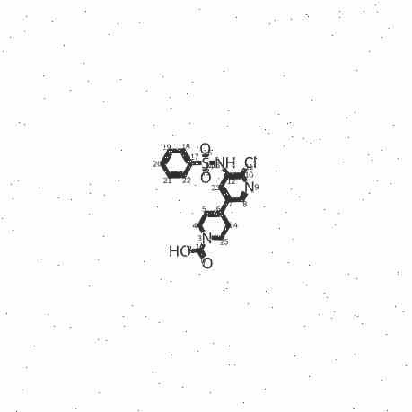 O=C(O)N1CC=C(c2cnc(Cl)c(NS(=O)(=O)c3ccccc3)c2)CC1